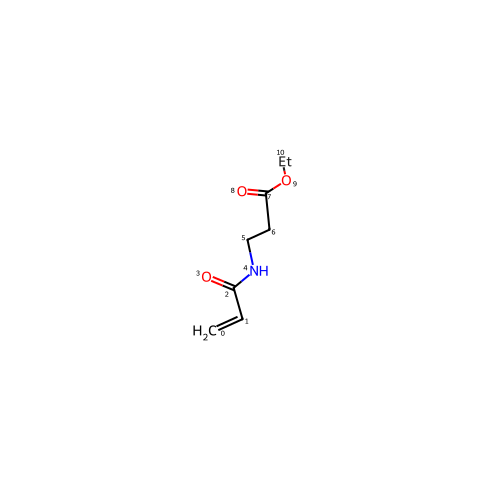 C=CC(=O)NCCC(=O)OCC